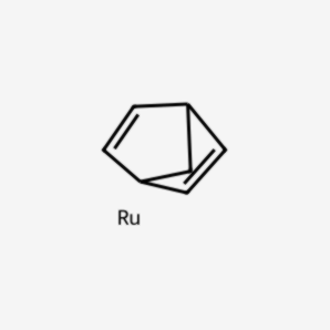 C1=CC2C=CC1C2.[Ru]